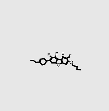 CCCCOc1cc2oc3cc(C4CC=C(CCC)CC4)c(F)c(F)c3c2c(F)c1F